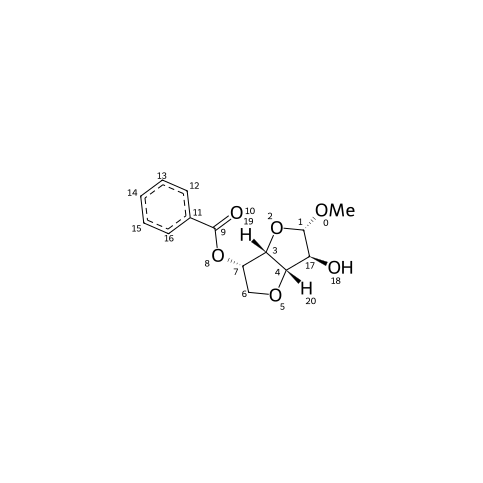 CO[C@H]1O[C@@H]2[C@@H](OC[C@@H]2OC(=O)c2ccccc2)[C@@H]1O